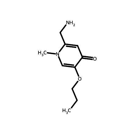 CCCOc1cn(C)c(CN)cc1=O